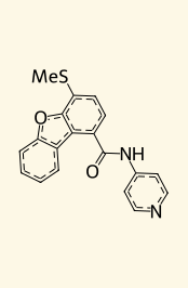 CSc1ccc(C(=O)Nc2ccncc2)c2c1oc1ccccc12